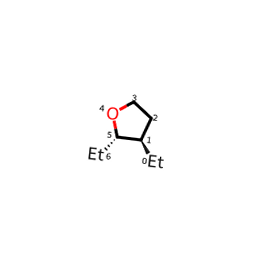 CC[C@@H]1CCO[C@H]1CC